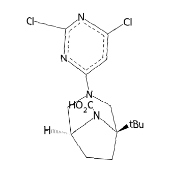 CC(C)(C)[C@]12CC[C@@H](CN(c3cc(Cl)nc(Cl)n3)C1)N2C(=O)O